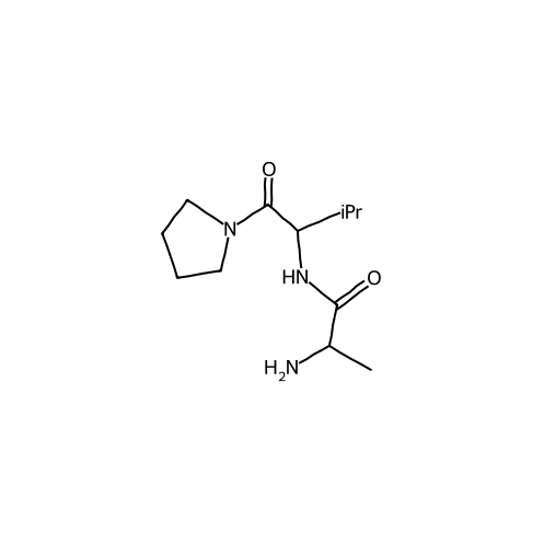 CC(N)C(=O)NC(C(=O)N1CCCC1)C(C)C